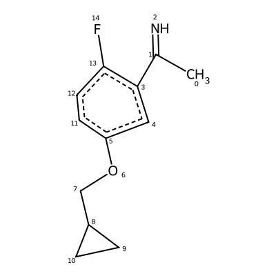 CC(=N)c1cc(OCC2CC2)ccc1F